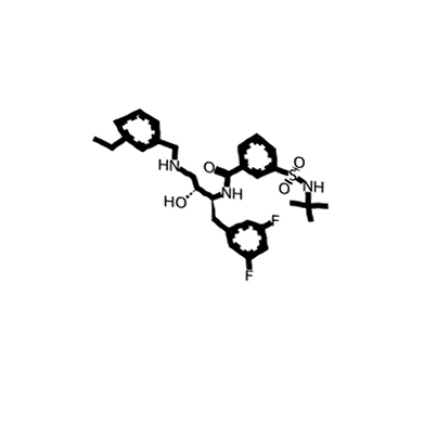 CCc1cccc(CNC[C@@H](O)[C@H](Cc2cc(F)cc(F)c2)NC(=O)c2cccc(S(=O)(=O)NC(C)(C)C)c2)c1